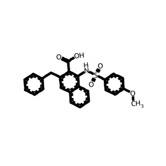 COc1ccc(S(=O)(=O)Nc2c(C(=O)O)c(Cc3ccccc3)cc3ccccc23)cc1